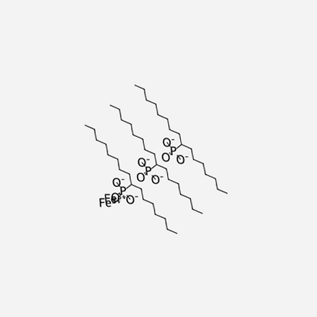 CCCCCCCCC(CCCCCCC)P(=O)([O-])[O-].CCCCCCCCC(CCCCCCC)P(=O)([O-])[O-].CCCCCCCCC(CCCCCCC)P(=O)([O-])[O-].[Fe+3].[Fe+3]